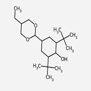 CCC1COC(C2CC(C(C)(C)C)C(O)C(C(C)(C)C)C2)OC1